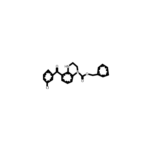 O=C(c1cccc(Cl)c1)c1cccc2c1NCCN2C(=O)OCc1ccccc1